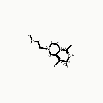 COCCN1CCN2C(C)=N[C@@H](C)C(C)=C2C1